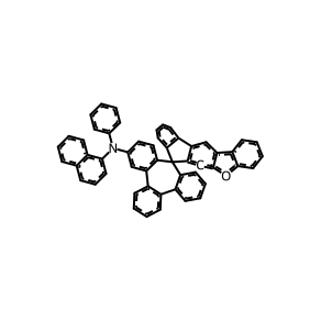 c1ccc(N(c2ccc3c(c2)-c2ccccc2-c2ccccc2C32c3ccccc3-c3cc4c(cc32)oc2ccccc24)c2cccc3ccccc23)cc1